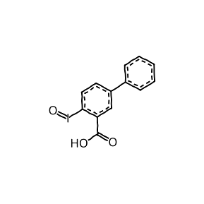 O=Ic1ccc(-c2ccccc2)cc1C(=O)O